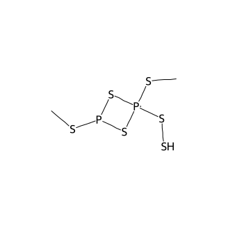 CSP1S[P](SC)(SS)S1